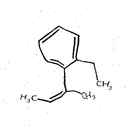 C/C=C(/C)c1ccccc1CC